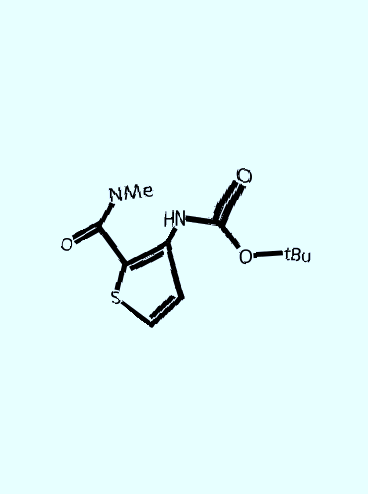 CNC(=O)c1sccc1NC(=O)OC(C)(C)C